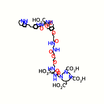 Cc1cc(OCCCC(=O)NCCNC(=O)COCCOCCNC(=O)[C@H](CS(=O)(=O)O)NC(=O)CN2CCC(CC(=O)O)CCN(CC(=O)O)CCN(CC(=O)O)CC2)cc(C)c1S(=O)(=O)N[C@@H](CNC(=O)c1ccc(CCc2ccc3c(n2)NCCC3)cc1)C(=O)O